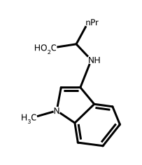 CCCC(Nc1cn(C)c2ccccc12)C(=O)O